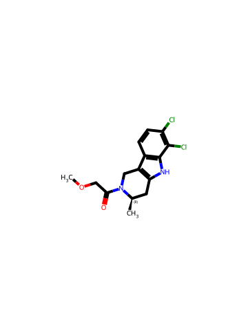 COCC(=O)N1Cc2c([nH]c3c(Cl)c(Cl)ccc23)C[C@H]1C